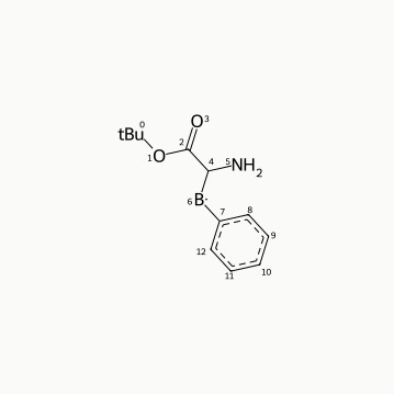 CC(C)(C)OC(=O)C(N)[B]c1ccccc1